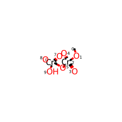 C[O][Cr](=[O])(=[O])[O][Cr](=[O])(=[O])[OH]